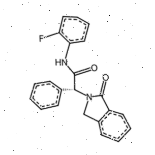 O=C(Nc1ccccc1F)[C@@H](c1ccccc1)N1Cc2ccccc2C1=O